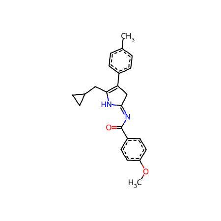 COc1ccc(C(=O)/N=C2/CC(c3ccc(C)cc3)=C(CC3CC3)N2)cc1